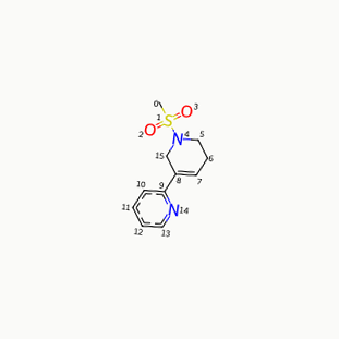 CS(=O)(=O)N1CCC=C(c2ccccn2)C1